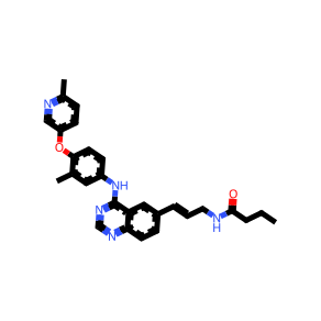 CCCC(=O)NCC=Cc1ccc2ncnc(Nc3ccc(Oc4ccc(C)nc4)c(C)c3)c2c1